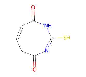 O=C1C/C=C\C(=O)N/C(S)=N\1